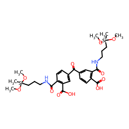 CO[Si](C)(CCCNC(=O)c1ccc(C(=O)c2ccc(C(=O)O)c(C(=O)NCCC[Si](C)(OC)OC)c2)cc1C(=O)O)OC